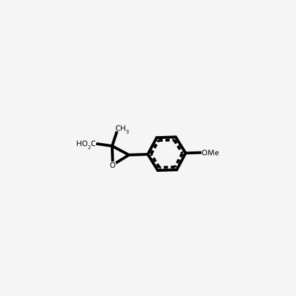 COc1ccc(C2OC2(C)C(=O)O)cc1